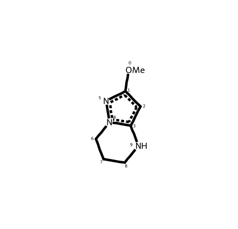 COc1[c]c2n(n1)CCCN2